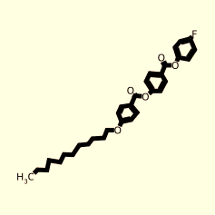 CCCCCCCCCCCCOc1ccc(C(=O)Oc2ccc(C(=O)Oc3ccc(F)cc3)cc2)cc1